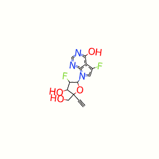 C#CC1(CO)OC(n2cc(F)c3c(O)ncnc32)C(F)C1O